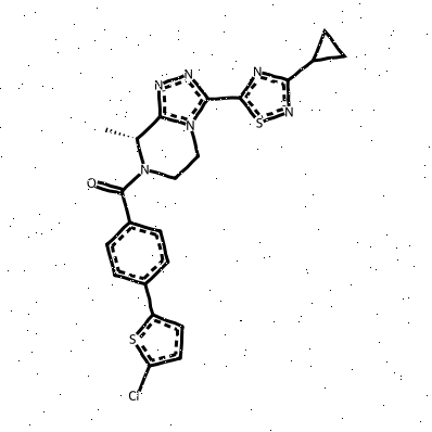 C[C@@H]1c2nnc(-c3nc(C4CC4)ns3)n2CCN1C(=O)c1ccc(-c2ccc(Cl)s2)cc1